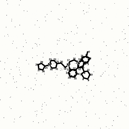 Cc1ccc2c(C3CCCCC3)c3n(c2c1)CCN(CCC1CCN(C2CCCC2)CC1)c1ccccc1-3